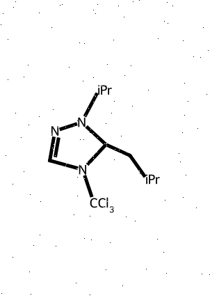 CC(C)CC1N(C(C)C)N=CN1C(Cl)(Cl)Cl